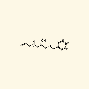 C=CCNCC(O)COCc1ccccc1